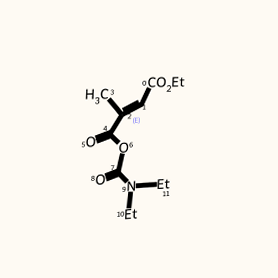 CCOC(=O)/C=C(\C)C(=O)OC(=O)N(CC)CC